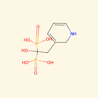 O=P(O)(O)C(O)(CC1=CC=CNC1)P(=O)(O)O